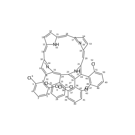 Clc1cccc(Cl)c1C1=Cc2cc3ccc(cc4nc(cc5[nH]c(c(-c6c(Cl)cccc6Cl)c1n2)c(-c1c(Cl)cccc1Cl)c5-c1c(Cl)cccc1Cl)C=C4)[nH]3